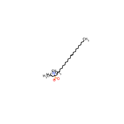 CCCCCCCCCC=CCCCCCCCCCCCC(CCC)(P(=O)=O)[N+](C)(C)C